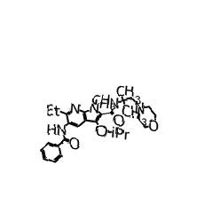 CCc1nc2c(cc1NC(=O)c1ccccc1)c(OC(C)C)c(C(=O)NC(C)(C)CN1CCOCC1)n2C